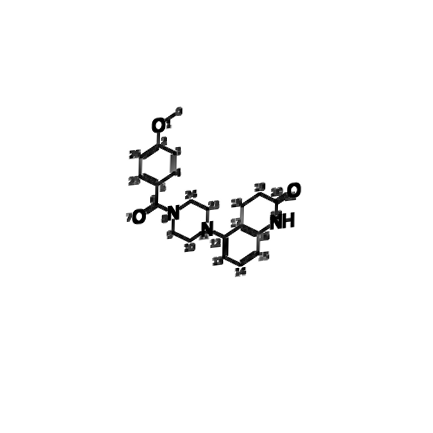 COc1ccc(C(=O)N2CCN(c3cccc4c3CCC(=O)N4)CC2)cc1